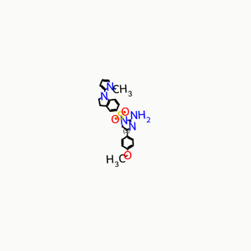 COc1ccc([C@H]2CN(S(=O)(=O)c3ccc4c(c3)CCN4c3cccn3C)C(N)=N2)cc1